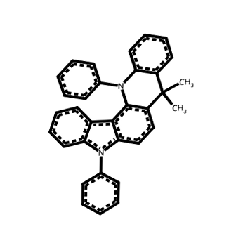 CC1(C)c2ccccc2N(c2ccccc2)c2c1ccc1c2c2ccccc2n1-c1ccccc1